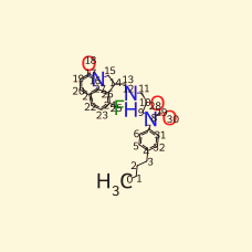 CCCCc1ccc(N2C[C@@H](CNCC3Cn4c(=O)ccc5ccc(F)c3c54)OC2=O)cc1